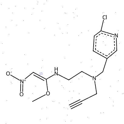 C#CCN(CCN/C(=C/[N+](=O)[O-])OC)Cc1ccc(Cl)nc1